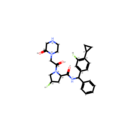 O=C(NC(c1ccccc1)c1ccc(C2CC2)c(F)c1)C1CC(F)CN1C(=O)CN1CCNCC1=O